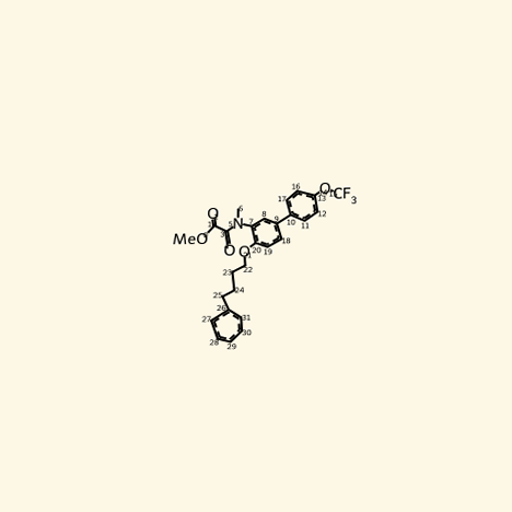 COC(=O)C(=O)N(C)c1cc(-c2ccc(OC(F)(F)F)cc2)ccc1OCCCCc1ccccc1